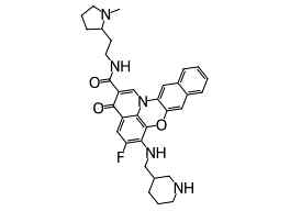 CN1CCCC1CCNC(=O)c1cn2c3c(c(NCC4CCCNC4)c(F)cc3c1=O)Oc1cc3ccccc3cc1-2